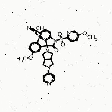 CCOc1ccc(OC)cc1C1(N2CC3CN(c4ccncc4)CC3C2)C(=O)N(S(=O)(=O)c2ccc(OC)cn2)c2ccc(C#N)cc21